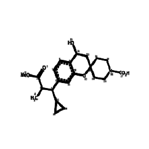 COC(=O)C(C)C(c1ccc2c(c1)OC1(CCN(C(=O)O)CC1)CC2O)C1CC1